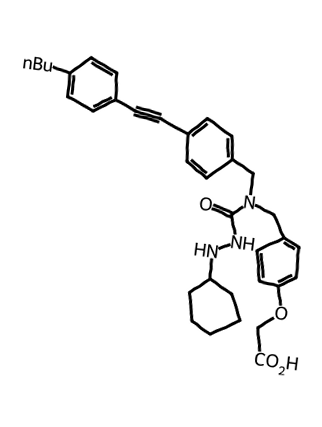 CCCCc1ccc(C#Cc2ccc(CN(Cc3ccc(OCC(=O)O)cc3)C(=O)NNC3CCCCC3)cc2)cc1